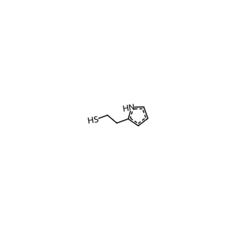 SCCc1ccc[nH]1